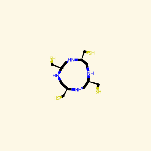 SC[C@H]1CN[C@@H](CS)CN[C@@H](CS)CN[C@@H](CS)CN1